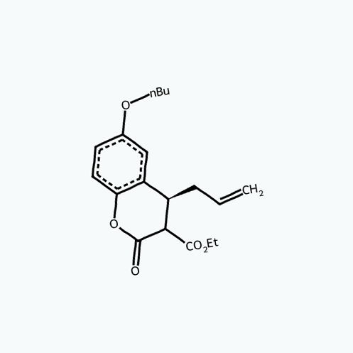 C=CC[C@@H]1c2cc(OCCCC)ccc2OC(=O)C1C(=O)OCC